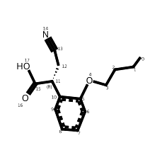 CCCCOc1ccccc1[C@@H](CC#N)C(=O)O